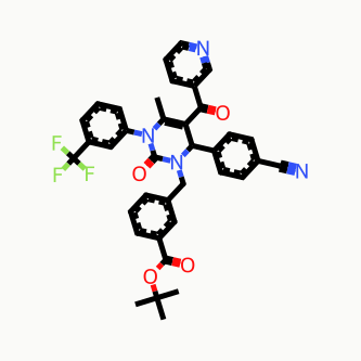 CC1=C(C(=O)c2cccnc2)C(c2ccc(C#N)cc2)N(Cc2cccc(C(=O)OC(C)(C)C)c2)C(=O)N1c1cccc(C(F)(F)F)c1